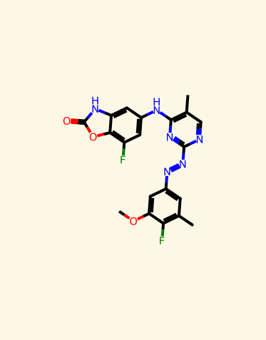 COc1cc(N=Nc2ncc(C)c(Nc3cc(F)c4oc(=O)[nH]c4c3)n2)cc(C)c1F